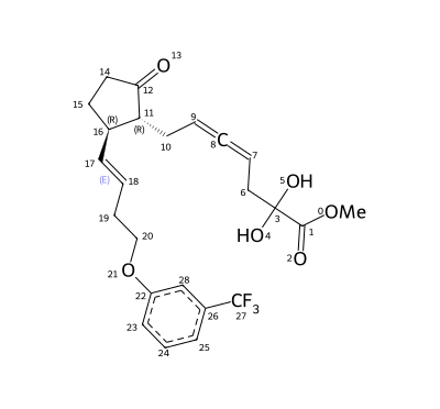 COC(=O)C(O)(O)CC=C=CC[C@H]1C(=O)CC[C@@H]1/C=C/CCOc1cccc(C(F)(F)F)c1